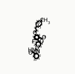 CN1CCN(CCOc2cc(F)c3c(c2)C(=O)OC32CCN(c3nc4c(c(=O)[nH]3)CCCC4)CC2)CC1